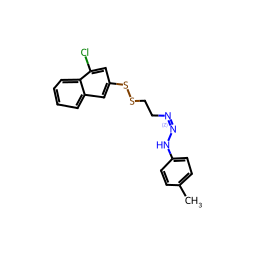 Cc1ccc(N/N=N\CCSSc2cc(Cl)c3ccccc3c2)cc1